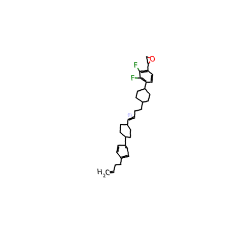 C=CCCc1ccc(C2CCC(/C=C/CCC3CCC(c4ccc(C5CO5)c(F)c4F)CC3)CC2)cc1